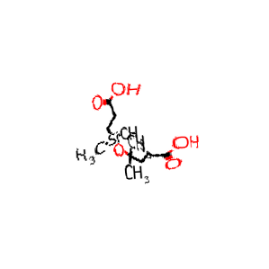 CC(C)(CCC(=O)O)O[Si](C)(C)CCC(=O)O